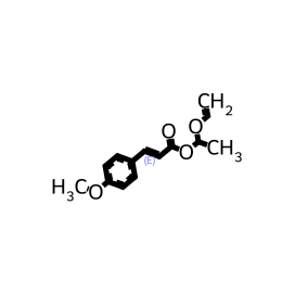 C=COC(C)OC(=O)/C=C/c1ccc(OC)cc1